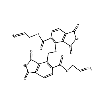 C=CCOC(=O)c1ccc2c(c1CCc1c(C(=O)OCC=C)ccc3c1C(=O)NC3=O)C(=O)NC2=O